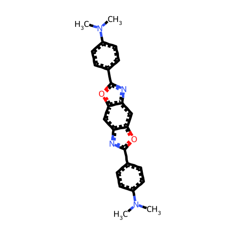 CN(C)c1ccc(-c2nc3cc4oc(-c5ccc(N(C)C)cc5)nc4cc3o2)cc1